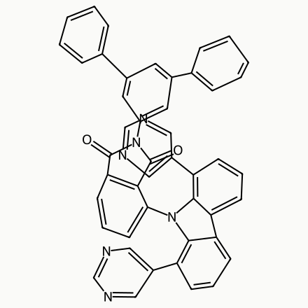 O=C1c2cccc(-n3c4c(-c5cncnc5)cccc4c4cccc(-c5cncnc5)c43)c2C(=O)N1c1cc(-c2ccccc2)cc(-c2ccccc2)c1